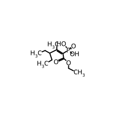 CCOC(=O)C(=C(C)C(CC)CC)P(=O)(O)O